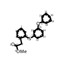 COC(=O)Cc1ccccc1Sc1cccc(Oc2ccccc2)c1